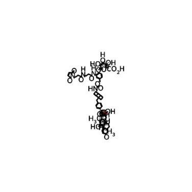 C[C@]12C=CC(=O)C=C1CC[C@@H]1[C@@H]2[C@@H](O)C[C@@]2(C)[C@H]1C[C@H]1O[C@@H](c3ccc(CC45C6C7C4C4C5C6C74NC(=O)OCc4ccc(O[C@@H]5O[C@H](C(=O)O)[C@@H](O)[C@H](O)[C@H]5O)c(NC(=O)CCNC(=O)CCN5C(=O)C=CC5=O)c4)cc3)O[C@]12C(=O)CO